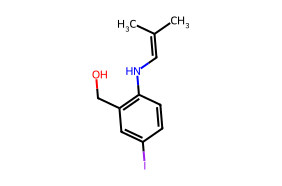 CC(C)=CNc1ccc(I)cc1CO